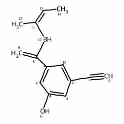 C#Cc1cc(O)cc(C(=C)B/C(C)=C\C)c1